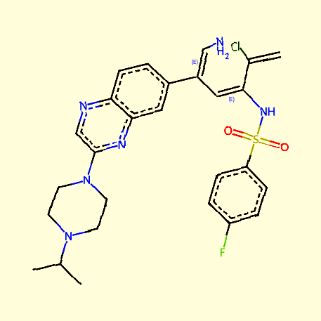 C=C(Cl)/C(=C\C(=C/N)c1ccc2ncc(N3CCN(C(C)C)CC3)nc2c1)NS(=O)(=O)c1ccc(F)cc1